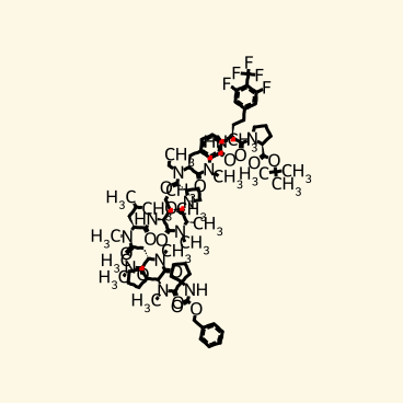 CC[C@H](C)[C@H](NC(=O)[C@H](CC(C)C)N(C)C(=O)C[C@@H](C(=O)N(C)C)N(C)C(=O)[C@H](C1CCCC1)N(C)C(=O)C1(NC(=O)OCc2ccccc2)CCCC1)C(=O)N(C)[C@@H](C)C(=O)N1CC[C@H]1C(=O)N(CC)[C@@H](Cc1ccc(C)cc1)C(=O)N(C)CC(=O)N[C@@H](CCc1cc(F)c(C(F)(F)F)c(F)c1)C(=O)N1CCC[C@H]1C(=O)OC(C)(C)C